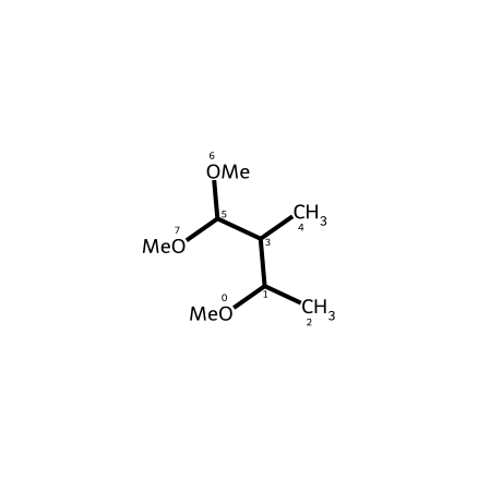 COC(C)C(C)C(OC)OC